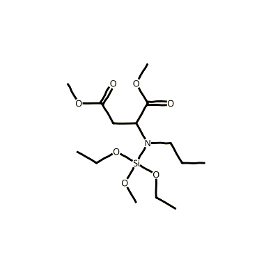 CCCN(C(CC(=O)OC)C(=O)OC)[Si](OC)(OCC)OCC